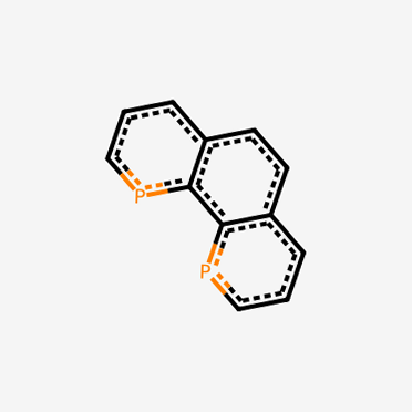 c1cpc2c(c1)ccc1cccpc12